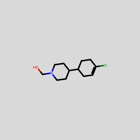 OCN1CCC(C2CC=C(Cl)CC2)CC1